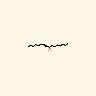 CCCCCCC#CC(=O)CCCCCCC